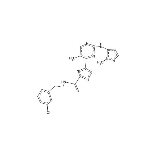 Cc1cnc(Nc2ccnn2C)nc1-c1coc(C(=O)NCCc2cccc(Cl)c2)n1